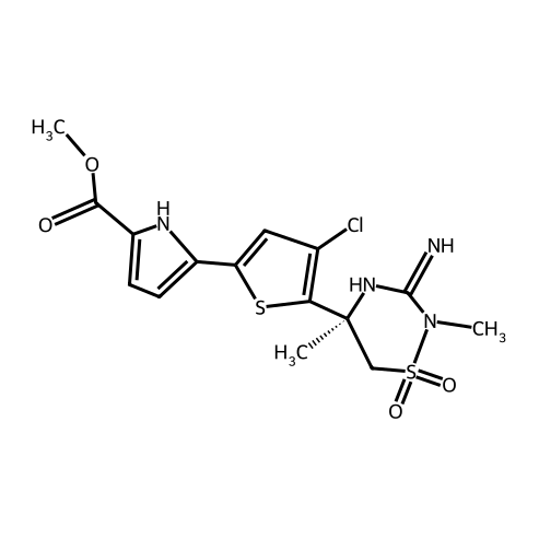 COC(=O)c1ccc(-c2cc(Cl)c([C@]3(C)CS(=O)(=O)N(C)C(=N)N3)s2)[nH]1